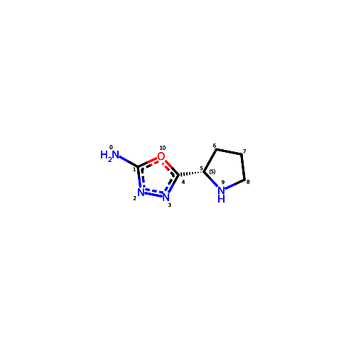 Nc1nnc([C@@H]2CCCN2)o1